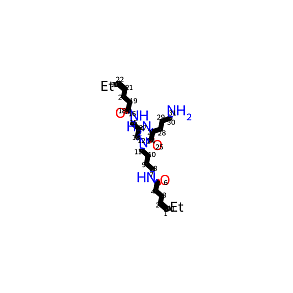 CC/C=C\CCC(=O)NCCCCN(CCCNC(=O)CC/C=C\CC)C(=O)C(N)CCCN